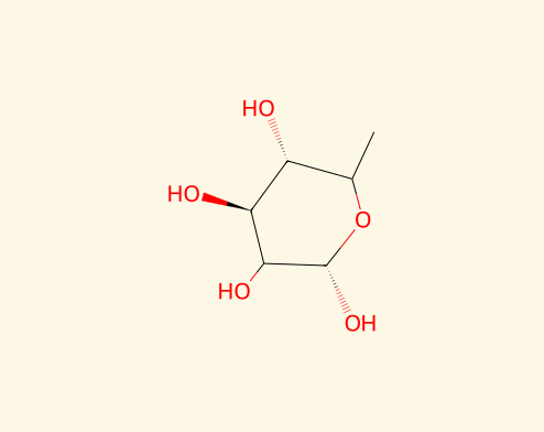 CC1O[C@H](O)C(O)[C@@H](O)[C@@H]1O